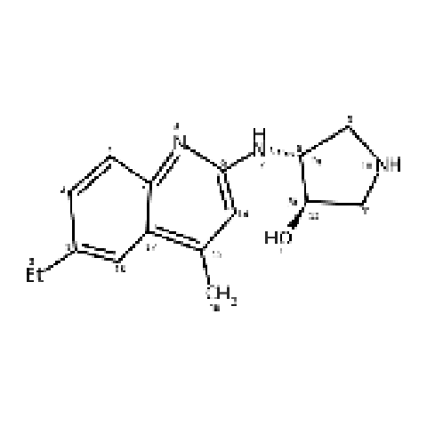 CCc1ccc2nc(N[C@@H]3CNC[C@H]3O)cc(C)c2c1